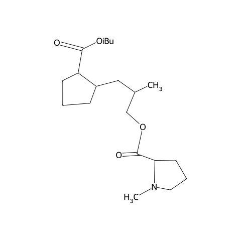 CC(C)COC(=O)C1CCCC1CC(C)COC(=O)C1CCCN1C